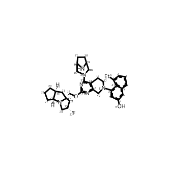 CCc1cccc2cc(O)cc(N3CCc4c(nc(OC[C@]56C[C@H](F)CN5[C@H]5CCC[C@H]5C6)nc4N4CC5CCC(C4)N5)C3)c12